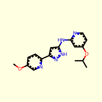 COc1ccc(-c2cc(Nc3cc(OC(C)C)ccn3)[nH]n2)nc1